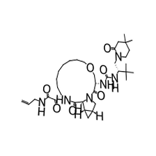 C=CCNC(=O)C(=O)[C@@H]1CCCCCCCOC[C@H](NC(=O)N[C@H](CN2CCC(C)(C)CC2=O)C(C)(C)C)C(=O)N2C[C@@H]3C[C@@H]3[C@H]2C(=O)N1